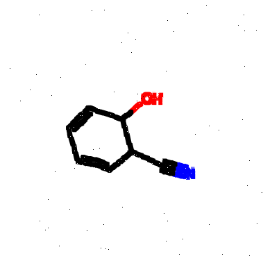 N#CC1C=CC=CC1O